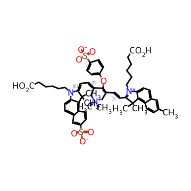 Cc1ccc2c3c(ccc2c1)[N+](CCCCCC(=O)O)=C(/C=C/C1=C(Oc2ccc(S(=O)(=O)[O-])cc2)C(=C/C=C2/N(CCCCCC(=O)O)c4ccc5cc(S(=O)(=O)[O-])ccc5c4C2(C)C)/C[N+](C)(C)C1)C3(C)C